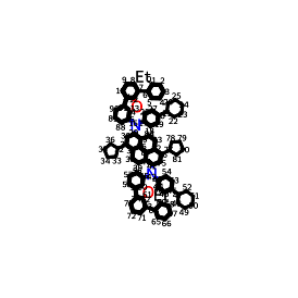 CCc1ccccc1-c1cccc2c1oc1c(N(c3ccc(C4CCCCC4)cc3)c3cc(C4CCCC4)c4ccc5c(N(c6ccc(C7CCCCC7)cc6)c6cccc7c6oc6c(-c8ccccc8CC)cccc67)cc(C6CCCC6)c6ccc3c4c65)cccc12